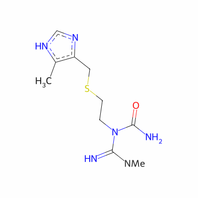 CNC(=N)N(CCSCc1nc[nH]c1C)C(N)=O